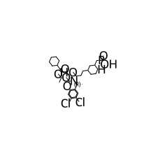 CC(OC(=O)C1CCCCC1)OC(=O)N(C(O)CCC1CCCC(C[PH](=O)O)C1)[C@H](C)c1ccc(Cl)c(Cl)c1